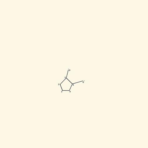 [CH2]C1CCCC1[CH2]